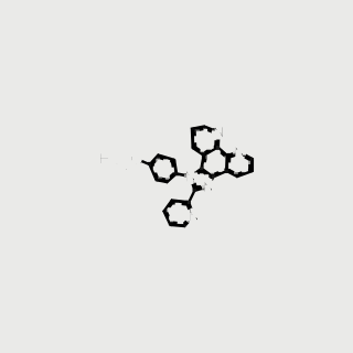 O=C(O)c1ccc(-n2c(-c3ccccn3)nc3c4cccnc4c4ncccc4c32)cc1